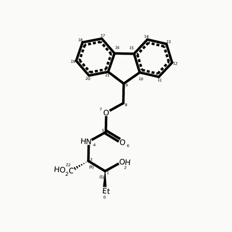 CC[C@H](O)[C@@H](NC(=O)OCC1c2ccccc2-c2ccccc21)C(=O)O